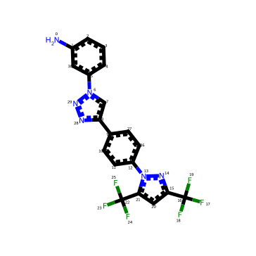 Nc1cccc(-n2cc(-c3ccc(-n4nc(C(F)(F)F)cc4C(F)(F)F)cc3)nn2)c1